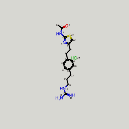 CC(=O)Nc1nc(CCc2ccc(CCCNC(=N)N)cc2)cs1.Cl